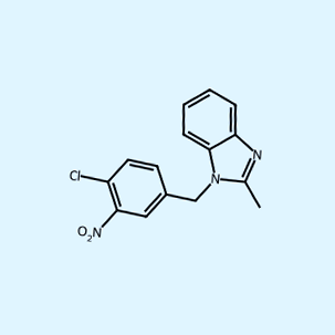 Cc1nc2ccccc2n1Cc1ccc(Cl)c([N+](=O)[O-])c1